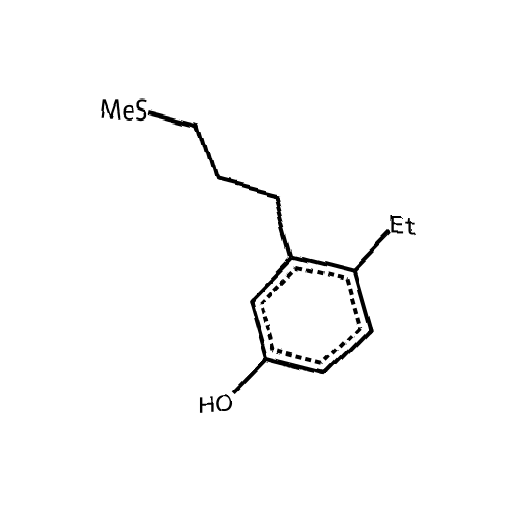 CCc1ccc(O)cc1CCCSC